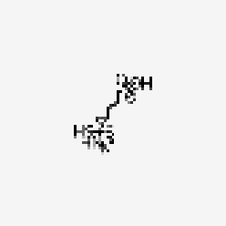 O=S(=O)(O)CCCCSC1(S)NN=CS1